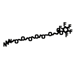 [N-]=[N+]=NCCOCCOCCOCCOCCOCCOCCCC(=O)Oc1c(F)c(F)c(F)c(F)c1F